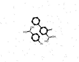 CC(=O)c1ccc(B(O)O)cc1.OB(O)c1ccc(-c2ccccc2)cc1F